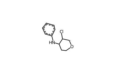 ClC1[CH]OCCC1Nc1ccccc1